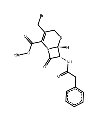 CC(C)(C)OC(=O)C1=C(CBr)CS[C@@H]2[C@H](NC(=O)Cc3ccccc3)C(=O)N12